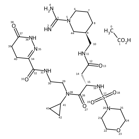 CC(=O)O.N=C(N)N1CCC[C@@H](CNC(=O)C[C@H](NS(=O)(=O)N2CCOCC2)C(=O)N(CCNC(=O)C2=NNC(=O)CC2)C2CC2)C1